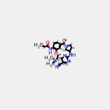 C=CC(=O)Nc1ccc(C(=O)N2CCC(Nc3ncc(C#N)cn3)C2)cc1OCCN(C)C